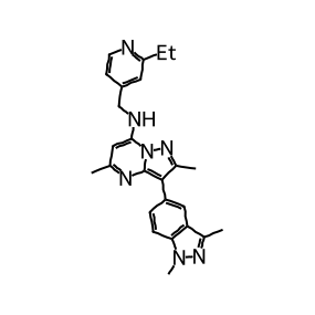 CCc1cc(CNc2cc(C)nc3c(-c4ccc5c(c4)c(C)nn5C)c(C)nn23)ccn1